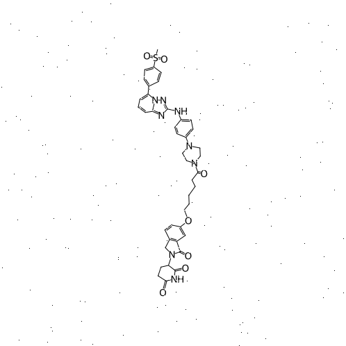 CS(=O)(=O)c1ccc(-c2cccc3nc(Nc4ccc(N5CCN(C(=O)CCCCCOc6ccc7c(c6)C(=O)N(C6CCC(=O)NC6=O)C7)CC5)cc4)nn23)cc1